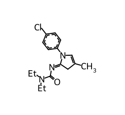 CCN(CC)C(=O)N=C1CC(C)=CN1c1ccc(Cl)cc1